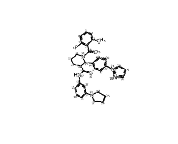 Cc1cccc(F)c1C(=O)N1CCC[C@H](C(=O)Nc2cccc(N3CCCC3)c2)[C@@H]1c1ccc(-n2cccn2)cc1